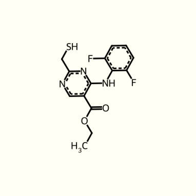 CCOC(=O)c1cnc(CS)nc1Nc1c(F)cccc1F